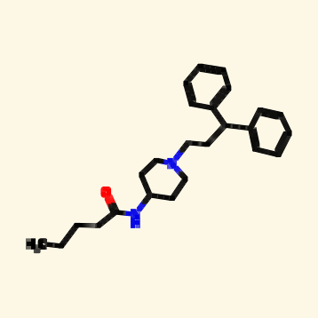 CCCCC(=O)NC1CCN(CCC(c2ccccc2)c2ccccc2)CC1